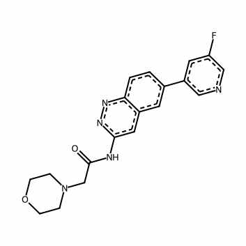 O=C(CN1CCOCC1)Nc1cc2cc(-c3cncc(F)c3)ccc2nn1